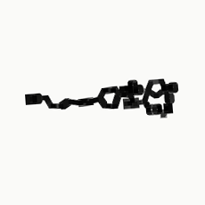 CO[C@]1([C@H](NC(=O)c2ccc(C#CC#CCCO)cc2)C(=O)O)CCS(=O)(=O)C1